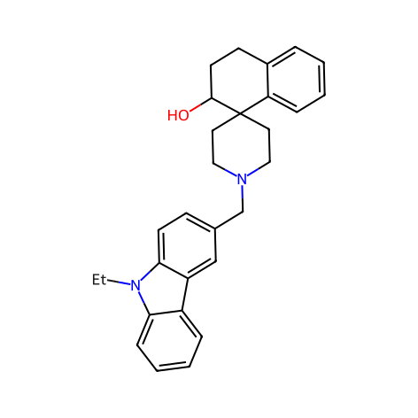 CCn1c2ccccc2c2cc(CN3CCC4(CC3)c3ccccc3CCC4O)ccc21